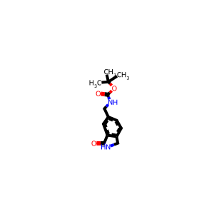 CC(C)(C)OC(=O)NCc1ccc2c(c1)C(=O)NC2